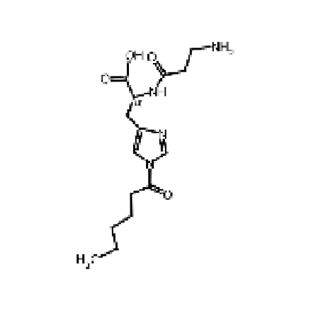 CCCCCC(=O)n1cnc(C[C@H](NC(=O)CCN)C(=O)O)c1